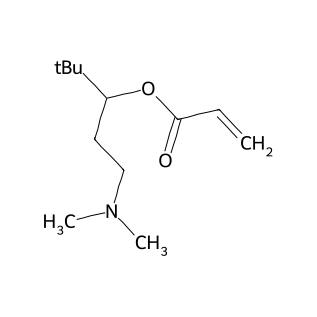 C=CC(=O)OC(CCN(C)C)C(C)(C)C